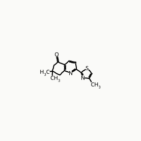 Cc1csc(-c2ccc3c(n2)CC(C)(C)CC3=O)n1